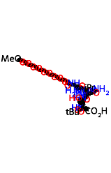 COCCOCCOCCOCCOCCOCCOCCOCCOCCOCC(=O)NCCCC[C@H](N)C(=O)N[C@H](C(=O)N[C@@H](CCCNC(N)=O)C(=O)Nc1cc(C[C@@H](C[C@H](C)C(=O)O)NC(=O)OC(C)(C)C)ccc1O)C(C)C